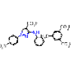 Cc1cc(C(=O)O)cc(C(=O)O)c1.O=C(O)c1cn(-c2ccc([N+](=O)[O-])cc2)nc1Nc1ccccc1